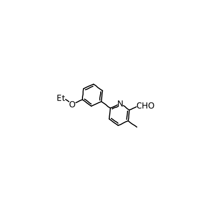 CCOc1cccc(-c2ccc(C)c(C=O)n2)c1